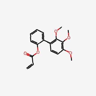 C=CC(=O)Oc1ccccc1-c1ccc(OC)c(OC)c1OC